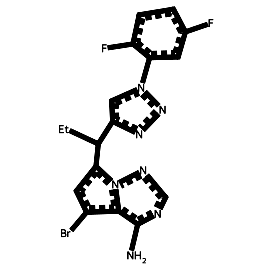 CCC(c1cn(-c2cc(F)ccc2F)nn1)c1cc(Br)c2c(N)ncnn12